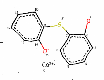 [Co+2].[O-]c1ccccc1Sc1ccccc1[O-]